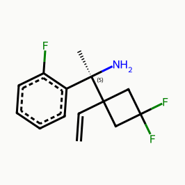 C=CC1([C@](C)(N)c2ccccc2F)CC(F)(F)C1